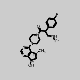 CC(C)NCC(C(=O)N1CCN(c2ncnc3c2[C@H](C)C[C@H]3O)CC1)c1ccc(F)cc1